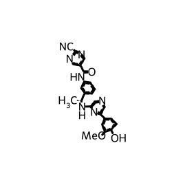 COc1cc(-c2cncc(N[C@H](C)c3cccc(NC(=O)c4cnc(C#N)nc4)c3)n2)ccc1O